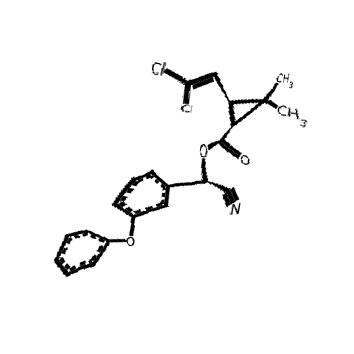 CC1(C)[C@H](C=C(Cl)Cl)[C@@H]1C(=O)O[C@@H](C#N)c1cccc(Oc2ccccc2)c1